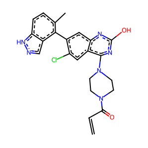 C=CC(=O)N1CCN(c2nc(O)nc3cc(-c4c(C)ccc5[nH]ncc45)c(Cl)cc23)CC1